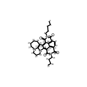 CCCCCN1C(=O)c2ccc3c4c(c5c(c6c7n5CCCN7CCCC6)c(c24)C1=O)C(=O)N(CCCC)C3=O